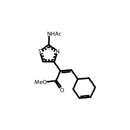 COC(=O)/C(=C\C1CC=CCC1)c1csc(NC(C)=O)n1